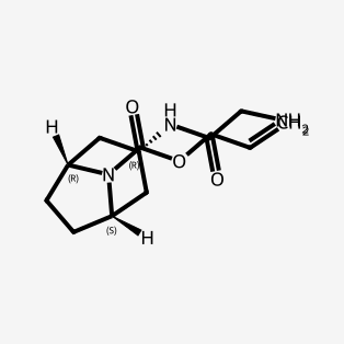 C=CCOC(=O)N1[C@@H]2CC[C@H]1C[C@@H](NC(=O)CN)C2